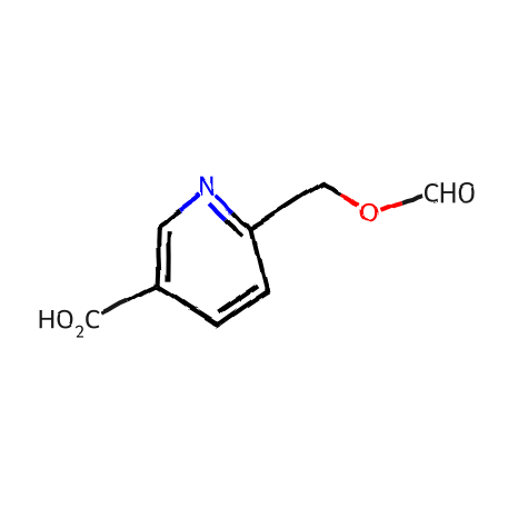 O=COCc1ccc(C(=O)O)cn1